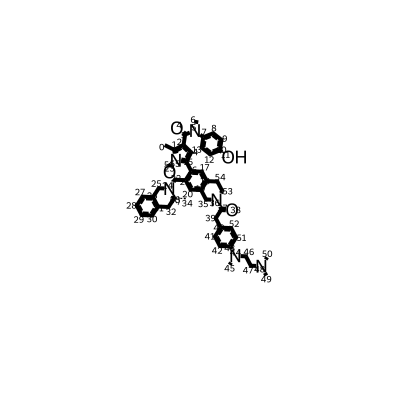 Cc1c(C(=O)N(C)c2ccc(O)cc2)cc(-c2cc3c(cc2C(=O)N2Cc4ccccc4C[C@H]2C)CN(C(=O)Cc2ccc(N(C)CCN(C)C)cc2)CC3)n1C